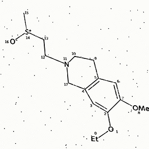 CCOc1cc2c(cc1OC)CCN(CC[S+](C)[O-])C2